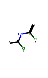 C=C(Cl)NC(C)Cl